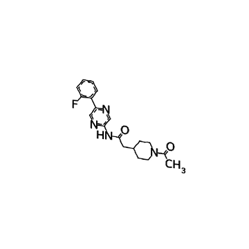 CC(=O)N1CCC(CC(=O)Nc2cnc(-c3ccccc3F)cn2)CC1